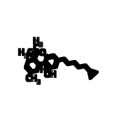 CC1=CC[C@@H]2[C@@H](C1)c1c(O)cc(CCCCCC3CC3)cc1OC2(C)C